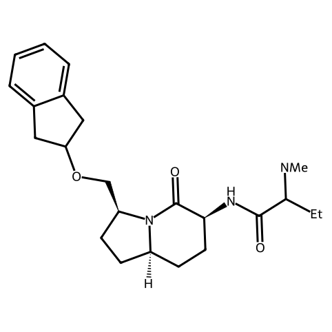 CCC(NC)C(=O)N[C@H]1CC[C@H]2CC[C@@H](COC3Cc4ccccc4C3)N2C1=O